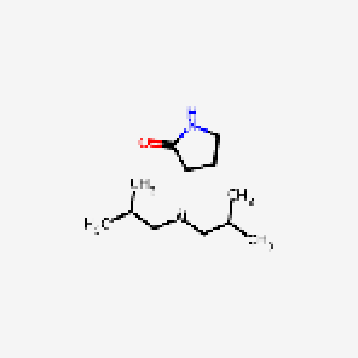 CC(C)[CH2][Al][CH2]C(C)C.O=C1CCCN1